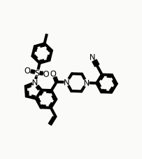 C=Cc1cc(C(=O)N2CCN(c3ccccc3C#N)CC2)c2c(ccn2S(=O)(=O)c2ccc(C)cc2)c1